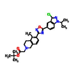 Cc1c(-c2noc(-c3ccc4c(c3)c(Cl)nn4C(C)C)n2)ccc2c1CCN(CC(=O)OC(C)(C)C)C2